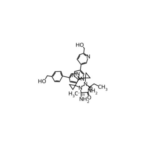 CCC(=O)N(N(C1(c2ncc(-c3ccc(CO)nc3)cn2)CC1)[C@](C)(N)C(N)=O)C1(c2ccc(-c3ccc(CO)cc3)cn2)CC1